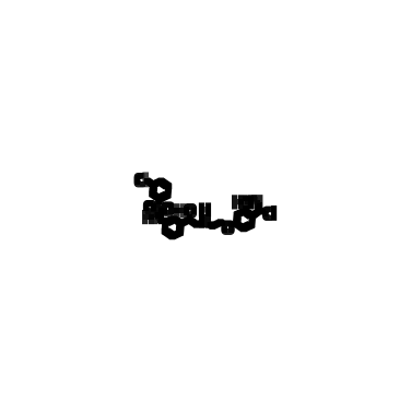 O=S(=O)(Nc1cccc(C(O)CNCCOc2ccc3c(Cl)n[nH]c3c2)c1)c1cccc(Cl)c1